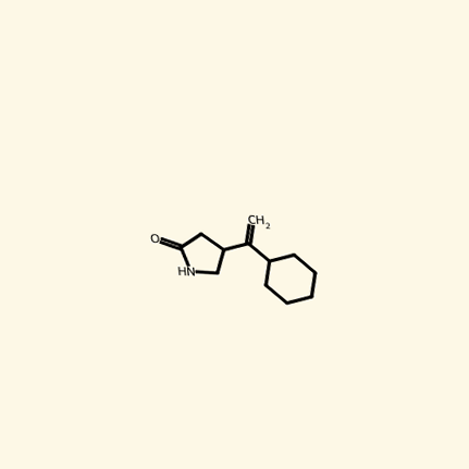 C=C(C1CCCCC1)C1CNC(=O)C1